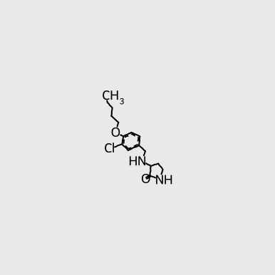 CCCCCOc1ccc(CNC2CCNC2=O)cc1Cl